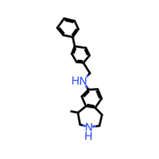 CC1CNCCc2ccc(NCc3ccc(-c4ccccc4)cc3)cc21